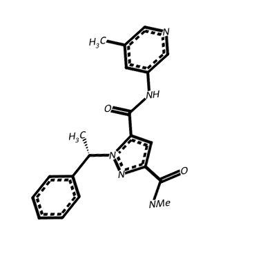 CNC(=O)c1cc(C(=O)Nc2cncc(C)c2)n([C@@H](C)c2ccccc2)n1